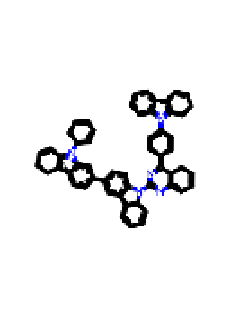 C1=CCC2C(=C1)N=C(N1c3ccc(-c4ccc5c6c(n(C7C=CC=CC7)c5c4)C=CCC6)cc3C3C=CC=CC31)N=C2C1C=CC(n2c3c(c4ccccc42)C=CCC3)=CC1